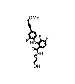 COCC#Cc1ccc(Nc2c(C(=O)NOCCO)ccc(F)c2F)c(F)c1